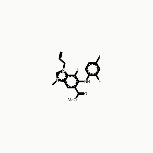 C=CCn1c[n+](C)c2cc(C(=O)OC)c(Nc3ccc(I)cc3F)c(F)c21